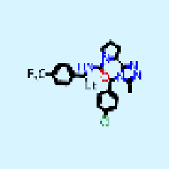 CC[C@H](NC(=O)N1CCC[C@@H]1c1nnc(C)n1Cc1ccc(Cl)cc1)c1ccc(C(F)(F)F)cc1